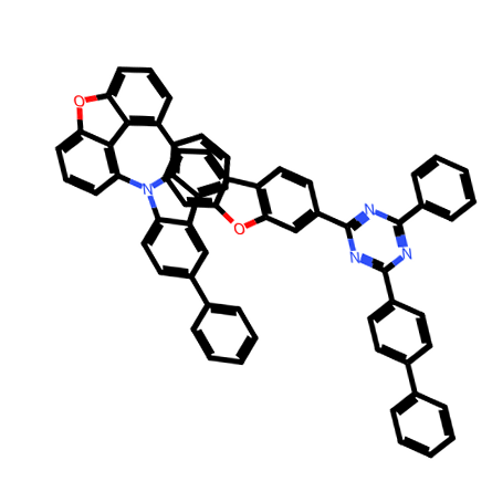 c1ccc(-c2ccc(-c3nc(-c4ccccc4)nc(-c4ccc5c(c4)oc4ccc(-c6cccc7oc8cccc(-n9c%10ccccc%10c%10cc(-c%11ccccc%11)ccc%109)c8c67)cc45)n3)cc2)cc1